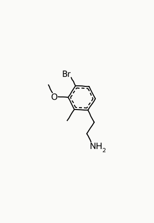 COc1c(Br)ccc(CCN)c1C